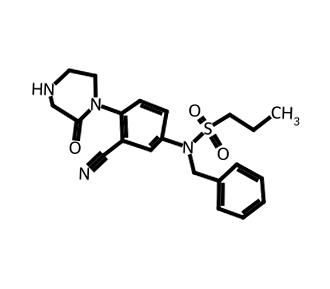 CCCS(=O)(=O)N(Cc1ccccc1)c1ccc(N2CCNCC2=O)c(C#N)c1